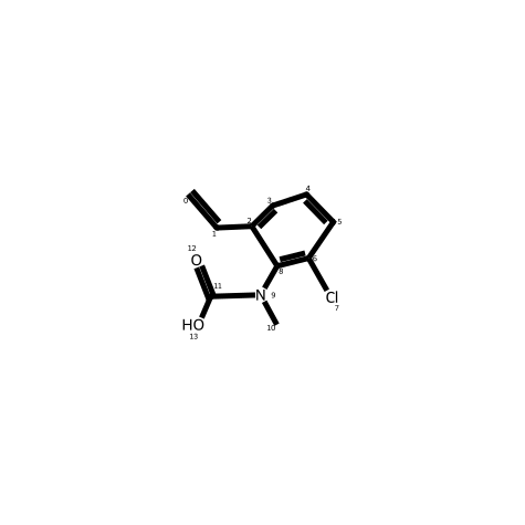 C=Cc1cccc(Cl)c1N(C)C(=O)O